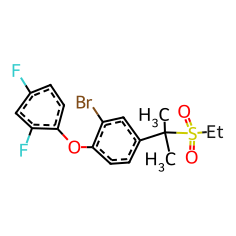 CCS(=O)(=O)C(C)(C)c1ccc(Oc2ccc(F)cc2F)c(Br)c1